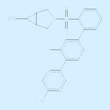 Nc1cnc(-c2ccc(-c3ccccc3S(=O)(=O)N3CC4C(N)C4C3)cc2F)cn1